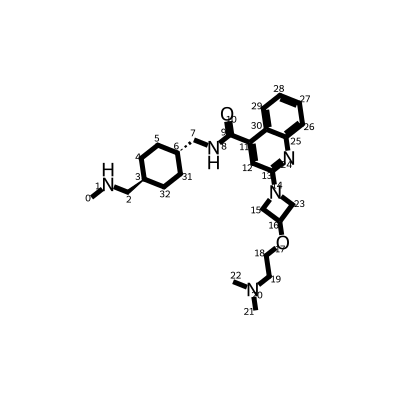 CNC[C@H]1CC[C@H](CNC(=O)c2cc(N3CC(OCCN(C)C)C3)nc3ccccc23)CC1